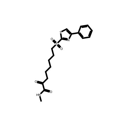 CNC(=O)C(=O)CCCCCCS(=O)(=O)c1nc(-c2ccccc2)cs1